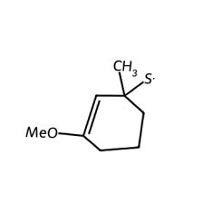 COC1=CC(C)([S])CCC1